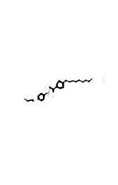 CCCCCCCCCCc1ccc(-c2cnc(-c3ccc(OCC(F)CC)cc3)nc2)cc1